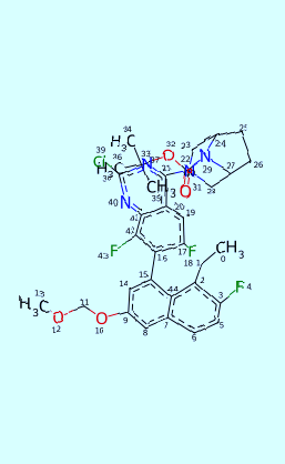 CCc1c(F)ccc2cc(OCOC)cc(-c3c(F)cc4c(N5CC6CCC(C5)N6C(=O)OC(C)(C)C)nc(Cl)nc4c3F)c12